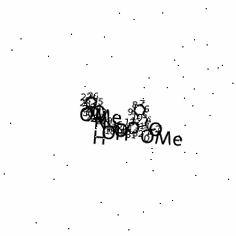 COC(=O)C(=Cc1ccccc1)c1ccc(OCC(O)CNC(C)Oc2ccccc2OC)cc1